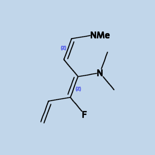 C=C/C(F)=C(\C=C/NC)N(C)C